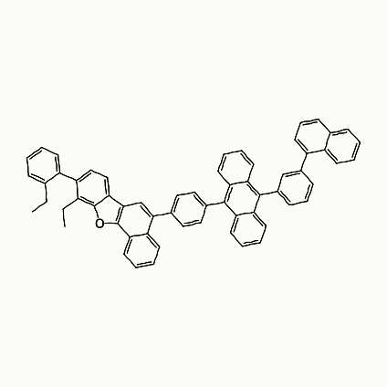 CCc1ccccc1-c1ccc2c(oc3c4ccccc4c(-c4ccc(-c5c6ccccc6c(-c6cccc(-c7cccc8ccccc78)c6)c6ccccc56)cc4)cc23)c1CC